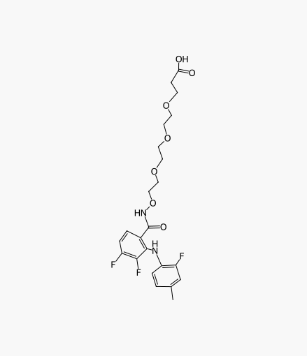 Cc1ccc(Nc2c(C(=O)NOCCOCCOCCOCCC(=O)O)ccc(F)c2F)c(F)c1